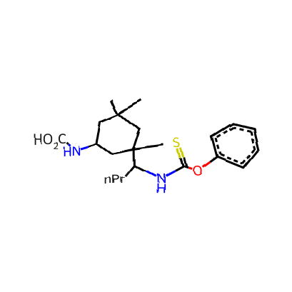 CCCC(NC(=S)Oc1ccccc1)C1(C)CC(NC(=O)O)CC(C)(C)C1